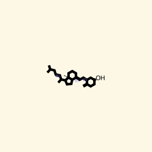 C=C1CCC(O)C/C1=C/C=C1\CCC[C@@]2(C)C1CCC2C(C)/C=C/CC(C)C